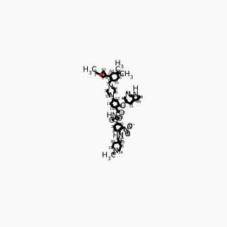 CCC12CC(C3=C(CN4CCN(c5ccc(C(=O)NS(=O)(=O)c6ccc(NCC7(F)CCN(C)CC7)c([N+](=O)[O-])c6)c(Oc6cnc7[nH]ccc7c6)c5)CC4)CCC(C)(C)C3)(C1)C2